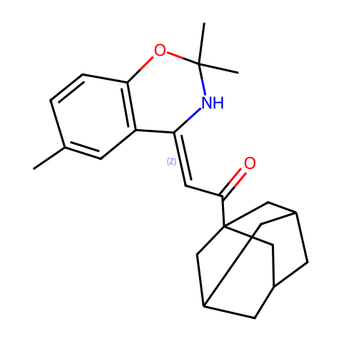 Cc1ccc2c(c1)/C(=C/C(=O)C13CC4CC(CC(C4)C1)C3)NC(C)(C)O2